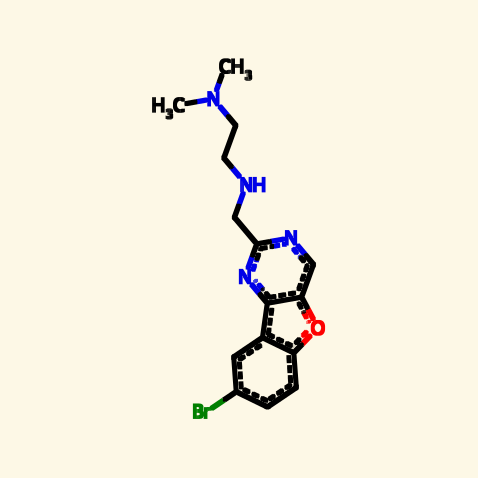 CN(C)CCNCc1ncc2oc3ccc(Br)cc3c2n1